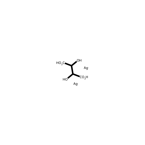 O=C(O)C(O)C(O)C(=O)O.[Ag].[Ag]